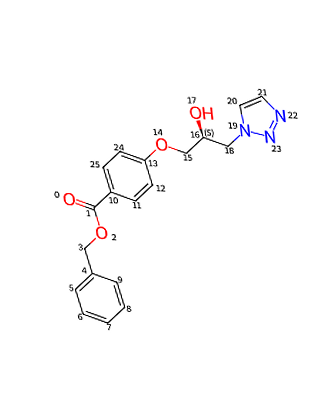 O=C(OCc1ccccc1)c1ccc(OC[C@@H](O)Cn2ccnn2)cc1